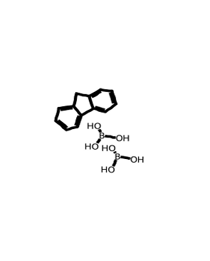 OB(O)O.OB(O)O.c1ccc2c(c1)Cc1ccccc1-2